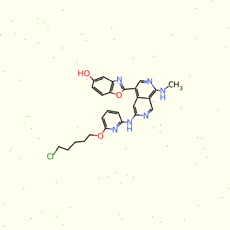 CNc1ncc(-c2nc3cc(O)ccc3o2)c2cc(Nc3cccc(OCCCCCCl)n3)ncc12